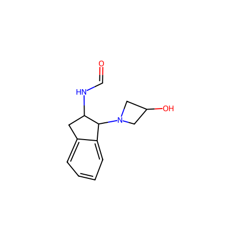 O=CNC1Cc2ccccc2C1N1CC(O)C1